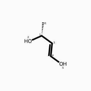 C[C@@H](O)/C=C/O